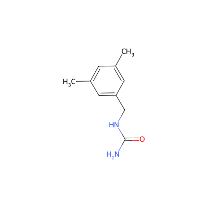 Cc1cc(C)cc(CNC(N)=O)c1